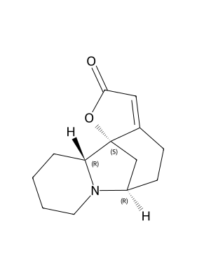 O=C1C=C2CC[C@@H]3C[C@@]2(O1)[C@H]1CCCCN31